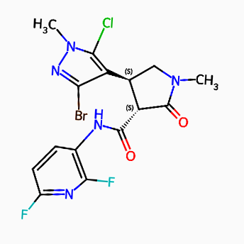 CN1C[C@H](c2c(Br)nn(C)c2Cl)[C@@H](C(=O)Nc2ccc(F)nc2F)C1=O